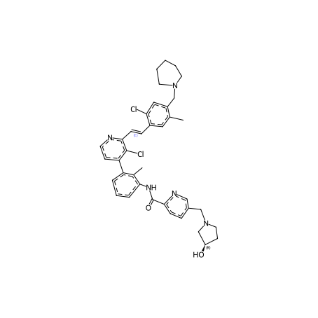 Cc1cc(/C=C/c2nccc(-c3cccc(NC(=O)c4ccc(CN5CC[C@@H](O)C5)cn4)c3C)c2Cl)c(Cl)cc1CN1CCCCC1